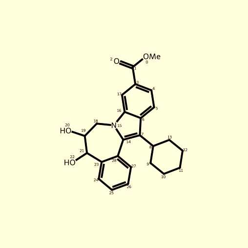 COC(=O)c1ccc2c(C3CCCCC3)c3n(c2c1)CC(O)C(O)c1ccccc1-3